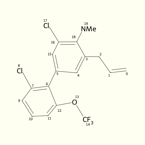 C=CCc1cc(-c2c(Cl)cccc2OC(F)(F)F)cc(Cl)c1NC